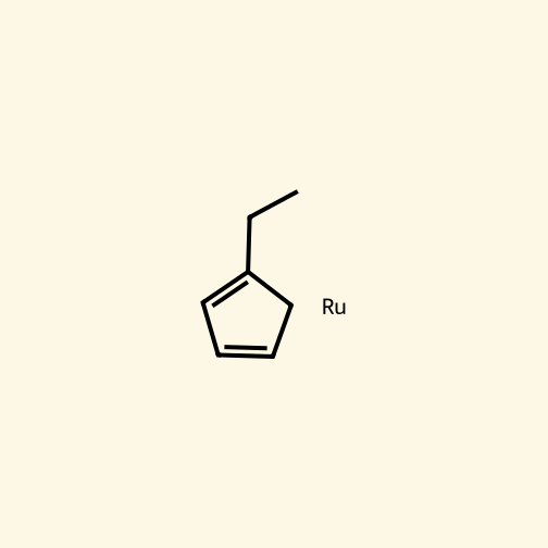 CCC1=CC=CC1.[Ru]